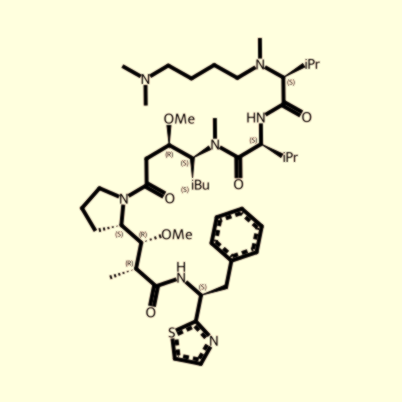 CC[C@H](C)[C@@H]([C@@H](CC(=O)N1CCC[C@H]1[C@H](OC)[C@@H](C)C(=O)N[C@@H](Cc1ccccc1)c1nccs1)OC)N(C)C(=O)[C@@H](NC(=O)[C@H](C(C)C)N(C)CCCCN(C)C)C(C)C